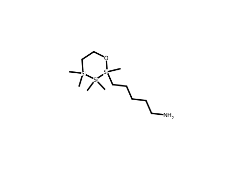 C[Si]1(C)CCO[Si](C)(CCCCCN)[Si]1(C)C